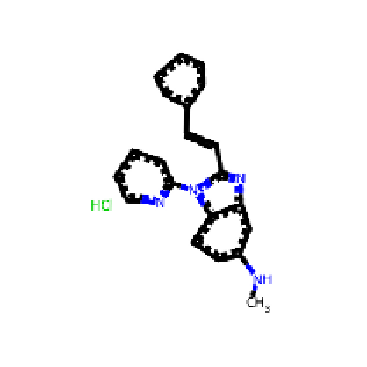 CNc1ccc2c(c1)nc(/C=C/c1ccccc1)n2-c1ccccn1.Cl